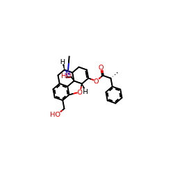 C[C@@H](C(=O)OC1=CC[C@@]2(O)[C@H]3Cc4ccc(CO)c5c4[C@@]2(CCN3C)[C@H]1O5)c1ccccc1